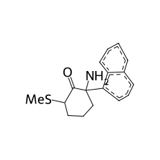 CSC1CCCC(N)(c2cccc3ccccc23)C1=O